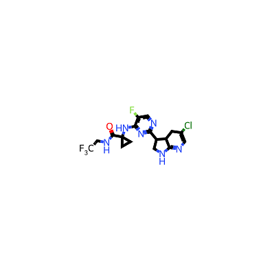 O=C(NCC(F)(F)F)C1(Nc2nc(C3CNC4=NC=C(Cl)CC43)ncc2F)CC1